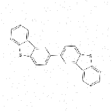 c1ccc2c(c1)sc1ccc(-c3ccc4sc5ccccc5c4c3)cc12